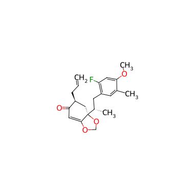 C=CC[C@H]1C[C@]2([C@@H](C)Cc3cc(C)c(OC)cc3F)OCOC2=CC1=O